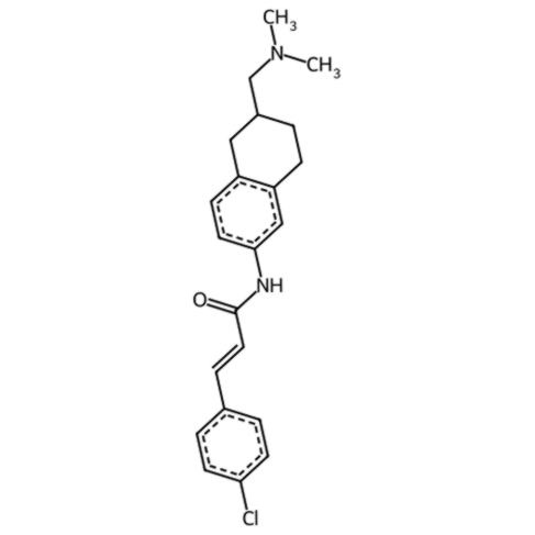 CN(C)CC1CCc2cc(NC(=O)/C=C/c3ccc(Cl)cc3)ccc2C1